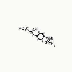 CS(=O)(=O)Nc1ccc(C[C@H](O)CC(=O)O)cc1